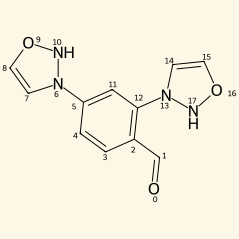 O=Cc1ccc(N2C=CON2)cc1N1C=CON1